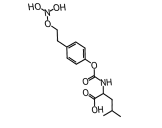 CC(C)CC(NC(=O)Oc1ccc(CCON(O)O)cc1)C(=O)O